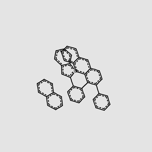 c1ccc(-c2ccc3cc4ccccc4cc3c2-c2ccccc2-c2cc3ccccc3o2)cc1.c1ccc2ccccc2c1